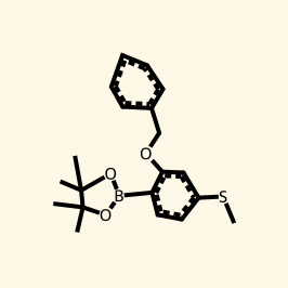 CSc1ccc(B2OC(C)(C)C(C)(C)O2)c(OCc2ccccc2)c1